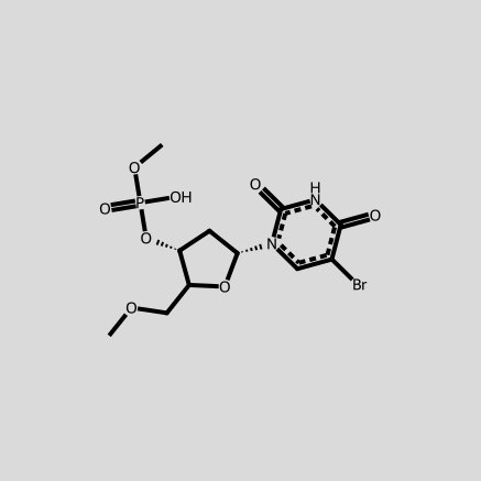 COCC1O[C@@H](n2cc(Br)c(=O)[nH]c2=O)C[C@H]1OP(=O)(O)OC